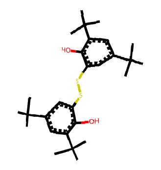 CC(C)(C)c1cc(SSc2cc(C(C)(C)C)cc(C(C)(C)C)c2O)c(O)c(C(C)(C)C)c1